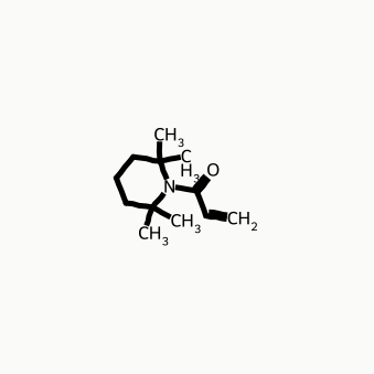 C=CC(=O)N1C(C)(C)CCCC1(C)C